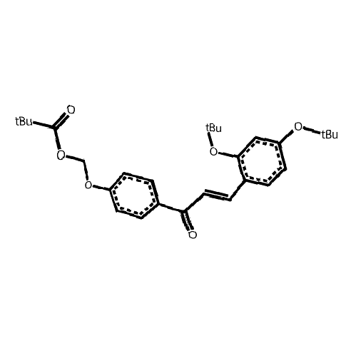 CC(C)(C)Oc1ccc(C=CC(=O)c2ccc(OCOC(=O)C(C)(C)C)cc2)c(OC(C)(C)C)c1